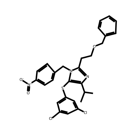 CC(C)c1nc(CCOCc2ccccc2)n(Cc2ccc([N+](=O)[O-])cc2)c1Sc1cc(Cl)cc(Cl)c1